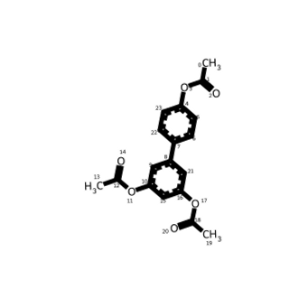 CC(=O)Oc1ccc(-c2cc(OC(C)=O)cc(OC(C)=O)c2)cc1